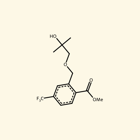 COC(=O)c1ccc(C(F)(F)F)cc1COCC(C)(C)O